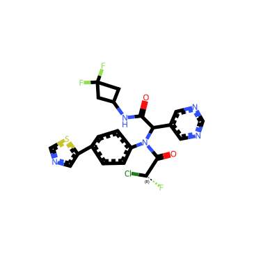 O=C(NC1CC(F)(F)C1)C(c1cncnc1)N(C(=O)[C@H](F)Cl)c1ccc(-c2cncs2)cc1